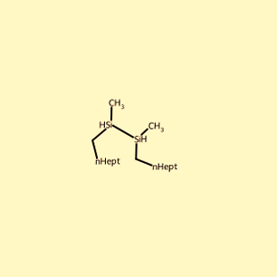 CCCCCCCC[SiH](C)[SiH](C)CCCCCCCC